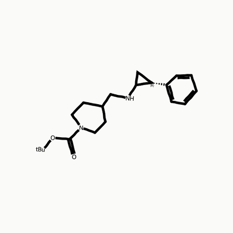 CC(C)(C)OC(=O)N1CCC(CNC2C[C@@H]2c2ccccc2)CC1